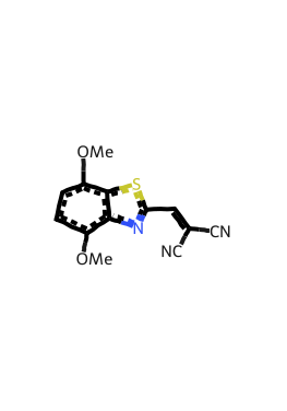 COc1ccc(OC)c2sc(C=C(C#N)C#N)nc12